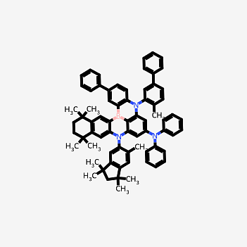 Cc1ccc(-c2ccccc2)cc1N1c2ccc(-c3ccccc3)cc2B2c3cc4c(cc3N(c3cc5c(cc3C)C(C)(C)CC5(C)C)c3cc(N(c5ccccc5)c5ccccc5)cc1c32)C(C)(C)CCC4(C)C